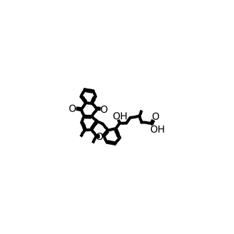 CC(=O)c1c(C)cc2c(c1Cc1ccccc1C(O)CCC(C)CC(=O)O)C(=O)c1ccccc1C2=O